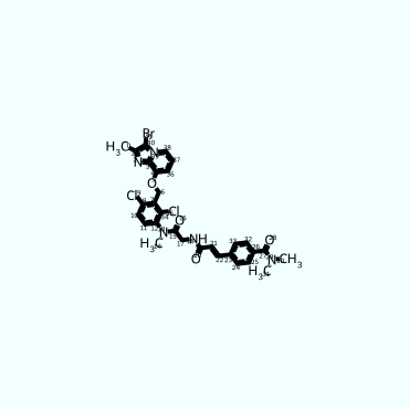 Cc1nc2c(OCc3c(Cl)ccc(N(C)C(=O)CNC(=O)C=Cc4ccc(C(=O)N(C)C)cc4)c3Cl)cccn2c1Br